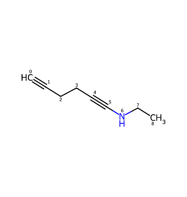 C#CCCC#CNCC